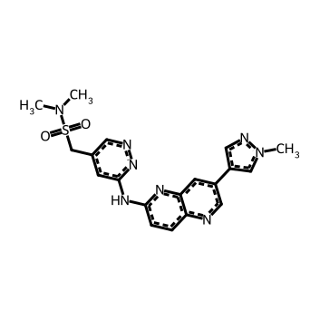 CN(C)S(=O)(=O)Cc1cnnc(Nc2ccc3ncc(-c4cnn(C)c4)cc3n2)c1